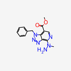 COC(=O)c1cnc(N(C)N)c2nnn(Cc3ccccc3)c12